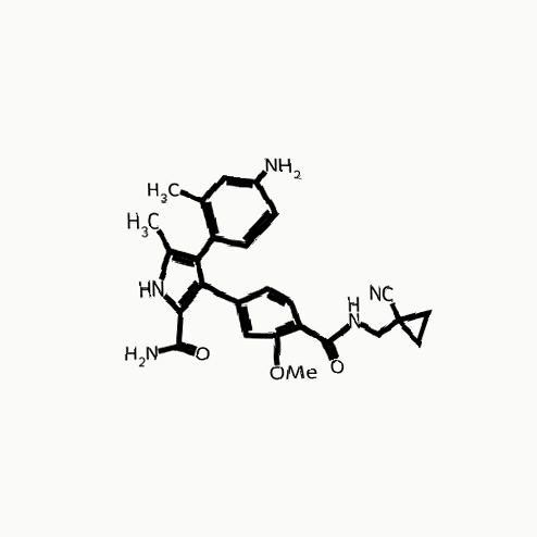 COc1cc(-c2c(C(N)=O)[nH]c(C)c2-c2ccc(N)cc2C)ccc1C(=O)NCC1(C#N)CC1